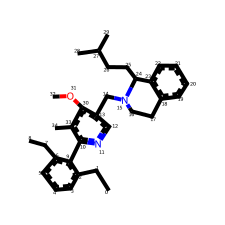 CCc1cccc(CC)c1-c1ncc(CN2CCc3ccccc3C2CCC(C)C)c(OC)c1C